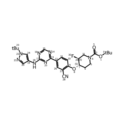 CC(C)(C)OC(=O)N1CC[C@H](Oc2ccc(-c3ncnc(Nc4cnn(C(C)(C)C)c4)n3)cc2C#N)[C@@H](F)C1